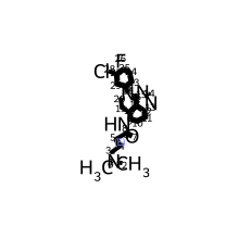 CN(C)C/C=C/C(=O)Nc1ccc2ncnc3c2c1CCN3c1ccc(F)c(Cl)c1